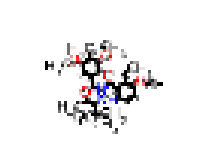 CCc1c(OC)cccc1C(=O)N(NC(CC)C(C)(C)C)C(=O)c1cc(OC)c(C)c(OC)c1